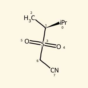 CC(C)[C@H](C)S(=O)(=O)CC#N